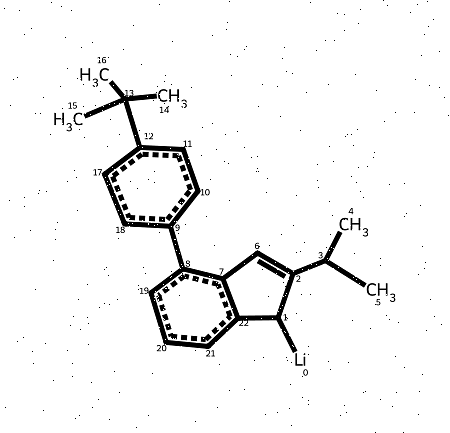 [Li][CH]1C(C(C)C)=Cc2c(-c3ccc(C(C)(C)C)cc3)cccc21